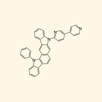 c1ccc(-n2c3ccccc3c3ccc4cc5c(cc4c32)c2ccccc2n5-c2ccc(-c3ccncc3)cn2)cc1